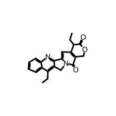 CCc1c2c(nc3ccccc13)-c1cc3c(c(=O)n1C2)COC(=O)C3CC